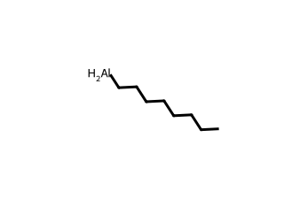 CCCCCCC[CH2][AlH2]